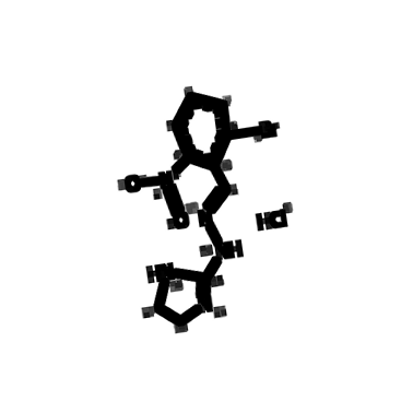 Cl.O=[N+]([O-])c1cccc(Br)c1/C=N/NC1=NCCN1